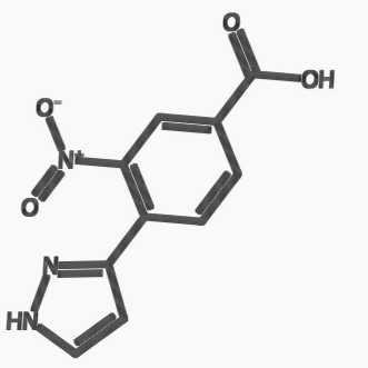 O=C(O)c1ccc(-c2cc[nH]n2)c([N+](=O)[O-])c1